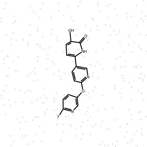 O=c1[nH]c(-c2ccc(Oc3ccc(F)nc3)nc2)ccc1O